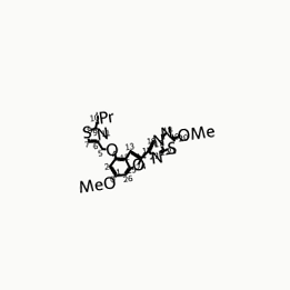 COc1cc(OCc2csc(C(C)C)n2)c2cc(-c3cn4nc(OC)sc4n3)oc2c1